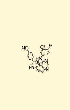 CC(Nc1ncc2ncnc(Nc3ccc(F)c(Cl)c3)c2n1)C(O)c1ccc(O)cc1